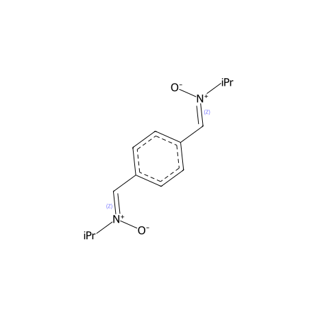 CC(C)/[N+]([O-])=C/c1ccc(/C=[N+](\[O-])C(C)C)cc1